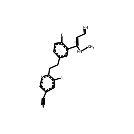 CN/C(=C\C=N)c1cc(CCc2ncc(C#N)cc2F)ccc1F